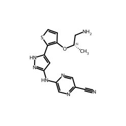 C[C@@H](CN)Oc1ccsc1-c1cc(Nc2cnc(C#N)cn2)n[nH]1